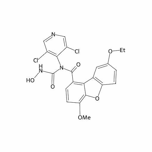 CCOc1ccc2oc3c(OC)ccc(C(=O)N(C(=O)NO)c4c(Cl)cncc4Cl)c3c2c1